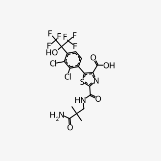 CC(C)(CNC(=O)c1nc(C(=O)O)c(-c2ccc(C(O)(C(F)(F)F)C(F)(F)F)c(Cl)c2Cl)s1)C(N)=O